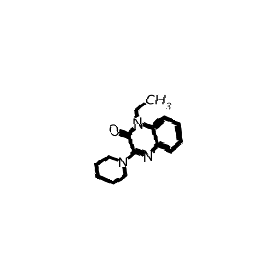 CCn1c(=O)c(N2CCCCC2)nc2ccccc21